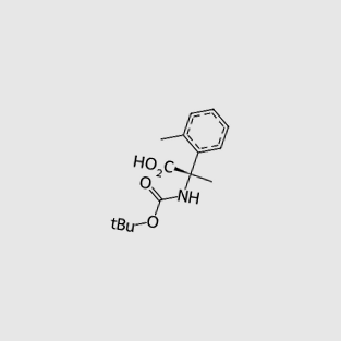 Cc1ccccc1[C@](C)(NC(=O)OC(C)(C)C)C(=O)O